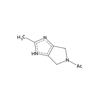 CC(=O)N1Cc2nc(C)[nH]c2C1